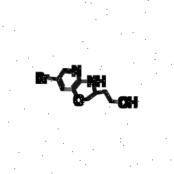 OCCC1COc2cc(Br)cnc2N1